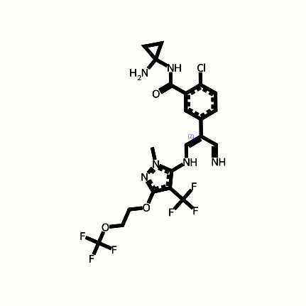 Cn1nc(OCCOC(F)(F)F)c(C(F)(F)F)c1N/C=C(\C=N)c1ccc(Cl)c(C(=O)NC2(N)CC2)c1